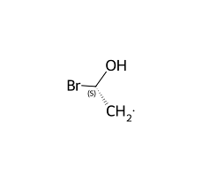 [CH2][C@@H](O)Br